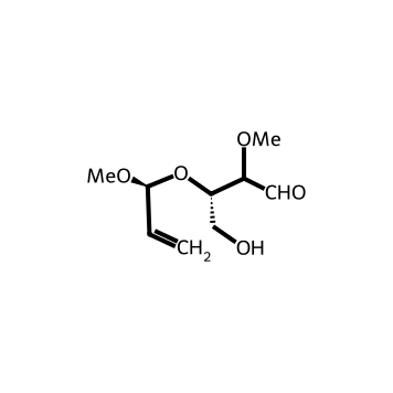 C=C[C@@H](OC)O[C@@H](CO)C(C=O)OC